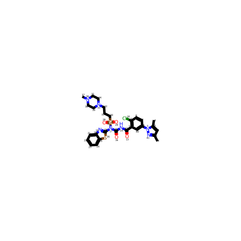 Cc1cc(C)n(-c2ccc(Cl)c(C(=O)NC(=O)N(c3nc4ccccc4s3)S(=O)(=O)CCCN3CCN(C)CC3)c2)n1